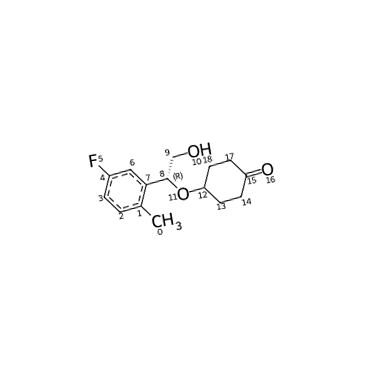 Cc1ccc(F)cc1[C@H](CO)OC1CCC(=O)CC1